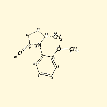 COc1ccccc1N1C(=O)CCC1C